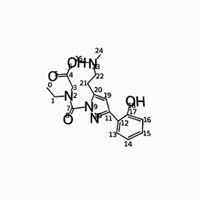 CCN(CC(=O)O)C(=O)n1nc(-c2ccccc2O)cc1CCN(C)C